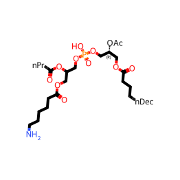 CCCCCCCCCCCCCC(=O)OC[C@H](COP(=O)(O)OCC(COC(=O)CCCCCN)OC(=O)CCC)OC(C)=O